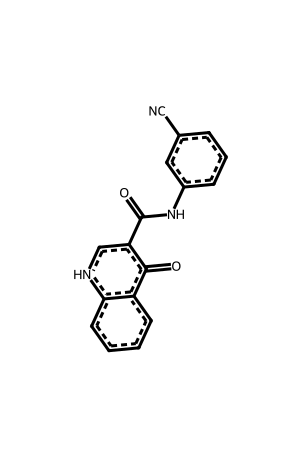 N#Cc1cccc(NC(=O)c2c[nH]c3ccccc3c2=O)c1